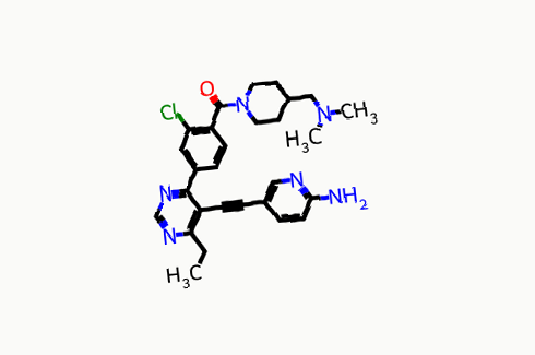 CCc1ncnc(-c2ccc(C(=O)N3CCC(CN(C)C)CC3)c(Cl)c2)c1C#Cc1ccc(N)nc1